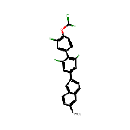 CCCCCCc1ccc2cc(-c3cc(F)c(-c4ccc(OC(F)F)c(F)c4)c(F)c3)ccc2c1